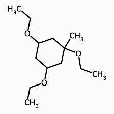 CCOC1CC(OCC)CC(C)(OCC)C1